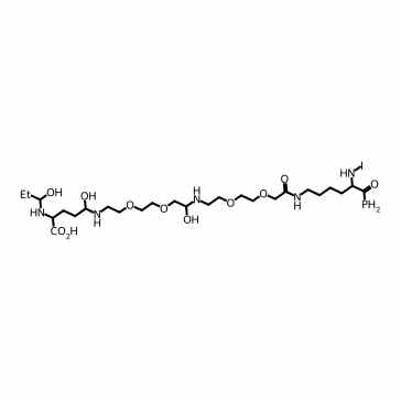 CCC(O)NC(CCC(O)NCCOCCOCC(O)NCCOCCOCC(=O)NCCCCC(NI)C(=O)P)C(=O)O